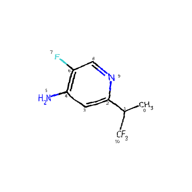 CC(c1cc(N)c(F)cn1)C(F)(F)F